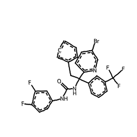 O=C(Nc1ccc(F)c(F)c1)NC(Cc1ccccc1)(c1cccc(C(F)(F)F)c1)c1ccc(Br)cn1